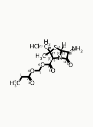 CCC(=O)OCOC(=O)[C@@H]1N2C(=O)[C@@H](N)[C@H]2SC1(C)C.Cl